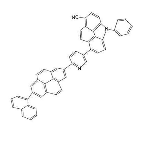 N#Cc1ccc2c3c1ccc1c(-c4ccc(-c5cc6ccc7cc(-c8cccc9ccccc89)cc8ccc(c5)c6c78)nc4)ccc(c13)n2-c1ccccc1